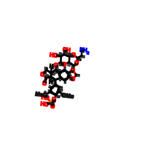 COc1cc(C2c3cc4c(cc3[C@@H](OC3OC5COC(CN)OC5C(O)C3O)[C@H]3COC(=O)[C@H]23)OCO4)cc(OC)c1OP(=O)(O)O